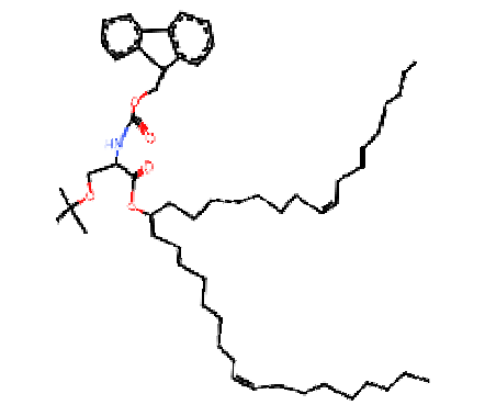 CCCCCCCC/C=C\CCCCCCCCC(CCCCCCC/C=C\CCCCCCCC)OC(=O)C(COC(C)(C)C)NC(=O)OCC1c2ccccc2-c2ccccc21